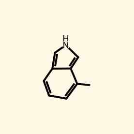 Cc1cccc2c[nH]cc12